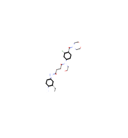 [C-]#[N+]c1ccc(NC(=O)[C@H](O)[C@H]2OCCN(c3ccc(C(=O)N4CCOCC4)c(Cl)c3)C2=O)cc1CC